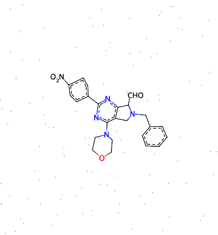 O=CC1c2nc(-c3ccc([N+](=O)[O-])cc3)nc(N3CCOCC3)c2CN1Cc1ccccc1